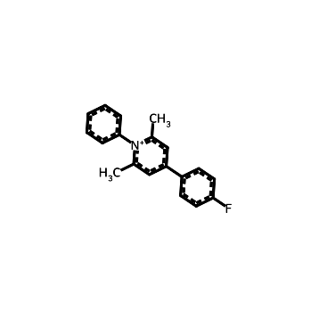 Cc1cc(-c2ccc(F)cc2)cc(C)[n+]1-c1ccccc1